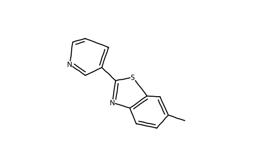 Cc1ccc2nc(-c3cccnc3)sc2c1